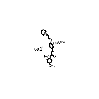 COc1cc(CCC(=O)N[C@H]2CC[C@H](C)CC2)ccc1OCCN1CCCCC1.Cl